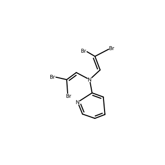 BrC(Br)=CN(C=C(Br)Br)c1ccccn1